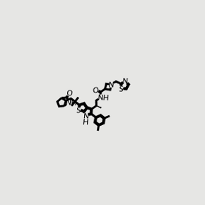 Cc1cc(C)cc(-c2[nH]c3sc(C(C)(C)CC4C5CCC4C(=O)N5)cc3c2[C@H](C)CNC(=O)C2CN(Cc3nccs3)C2)c1